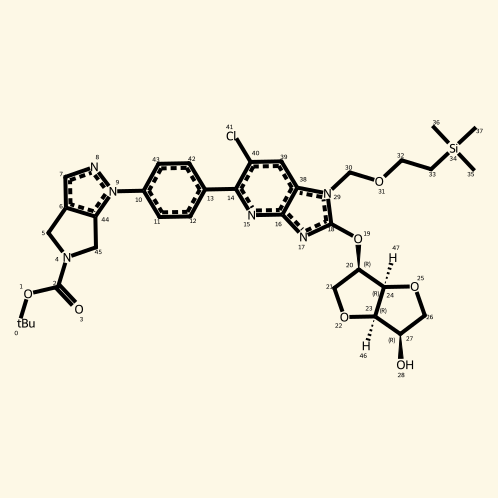 CC(C)(C)OC(=O)N1Cc2cnn(-c3ccc(-c4nc5nc(O[C@@H]6CO[C@H]7[C@@H]6OC[C@H]7O)n(COCC[Si](C)(C)C)c5cc4Cl)cc3)c2C1